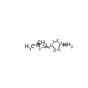 CN(C)CC#Cc1ccc(N)cc1